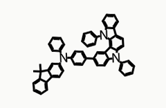 CC1(C)c2ccccc2-c2ccc(N(c3ccccc3)c3ccc(-c4ccc5c(c4)c4c(ccc6c7ccccc7n(-c7ccccc7)c64)n5-c4ccccc4)cc3)cc21